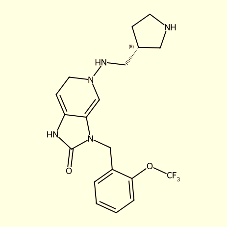 O=c1[nH]c2c(n1Cc1ccccc1OC(F)(F)F)=CN(NC[C@@H]1CCNC1)CC=2